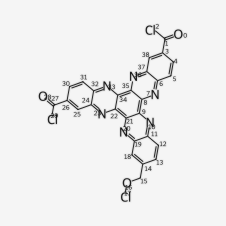 O=C(Cl)c1ccc2nc3c4nc5ccc(COCl)cc5nc4c4nc5cc(C(=O)Cl)ccc5nc4c3nc2c1